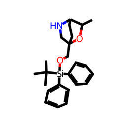 CC1OC2(CO[Si](c3ccccc3)(c3ccccc3)C(C)(C)C)CCC1NC2